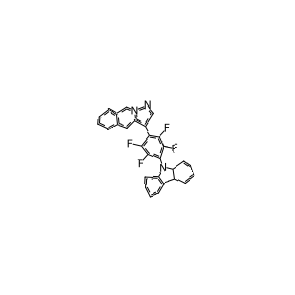 Fc1c(F)c(N2c3ccccc3C3C=CC=CC32)c(F)c(F)c1-c1cnn2cc3ccccc3cc12